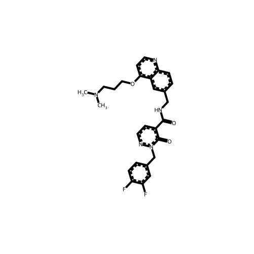 CN(C)CCCOc1ccnc2ccc(CNC(=O)c3ccnn(Cc4ccc(F)c(F)c4)c3=O)cc12